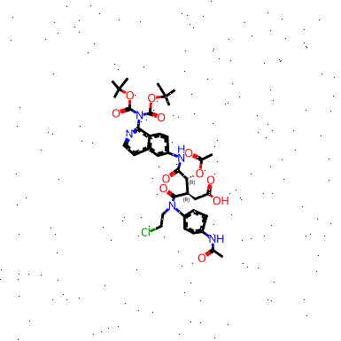 CC(=O)Nc1ccc(N(CCCl)C(=O)[C@H](CC(=O)O)[C@@H](OC(C)=O)C(=O)Nc2ccc3c(N(C(=O)OC(C)(C)C)C(=O)OC(C)(C)C)nccc3c2)cc1